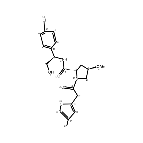 CO[C@@H]1C[C@@H](C(=O)N[C@@H](CO)c2ccc(Cl)cc2)N(C(=O)Cc2cc(C)no2)C1